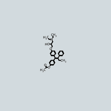 CCC(=C(c1ccc(OCC(O)CN(CC)CC)cc1)c1ccc(OC(C)=O)cc1)c1ccccc1